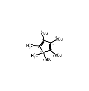 CCCCC1=C(C)[Si](C)(CCCC)C(CCCC)=C1CCCC